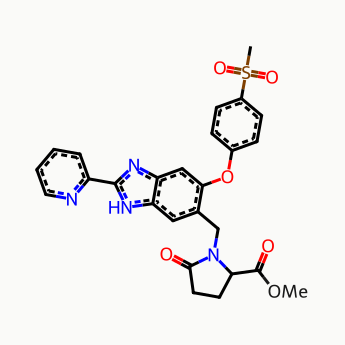 COC(=O)C1CCC(=O)N1Cc1cc2[nH]c(-c3ccccn3)nc2cc1Oc1ccc(S(C)(=O)=O)cc1